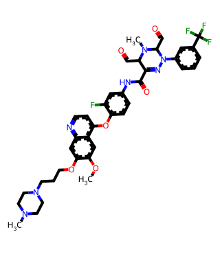 COc1cc2c(Oc3ccc(NC(=O)C4=NN(c5cccc(C(F)(F)F)c5)C(C=O)N(C)C4C=O)cc3F)ccnc2cc1OCCCN1CCN(C)CC1